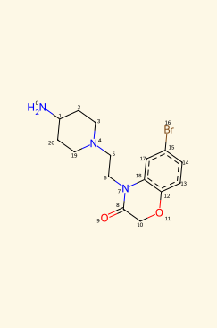 NC1CCN(CCN2C(=O)COc3ccc(Br)cc32)CC1